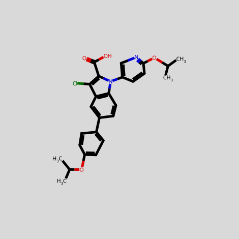 CC(C)Oc1ccc(-c2ccc3c(c2)c(Cl)c(C(=O)O)n3-c2ccc(OC(C)C)nc2)cc1